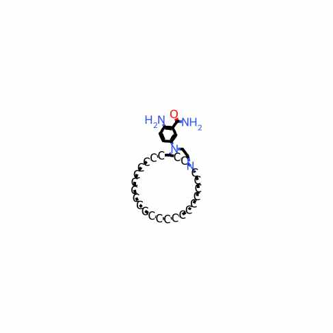 NC(=O)c1cc(N2CCN3CCCCCCCCCCCCCCCCCCCCCC2CC3)ccc1N